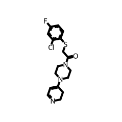 O=C(CSc1ccc(F)cc1Cl)N1CCN(C2=CC=NCC2)CC1